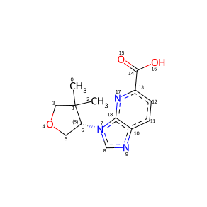 CC1(C)COC[C@H]1n1cnc2ccc(C(=O)O)nc21